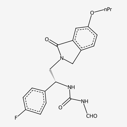 CCCOc1ccc2c(c1)C(=O)N(C[C@H](NC(=O)NC=O)c1ccc(F)cc1)C2